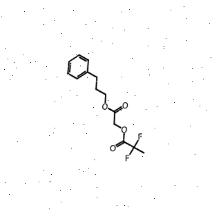 CC(F)(F)C(=O)OCC(=O)OCCCc1ccccc1